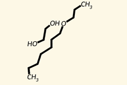 CCCCCCCOCCC.OCCO